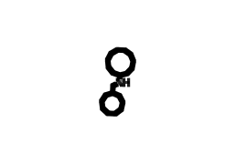 C1CCCCCC(NCC2CCCCCCCC2)CCCC1